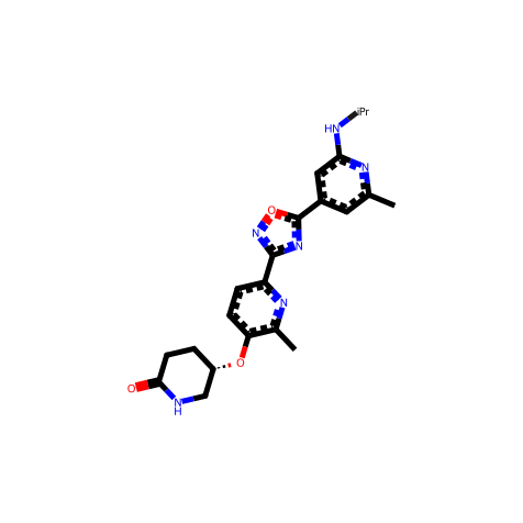 Cc1cc(-c2nc(-c3ccc(O[C@H]4CCC(=O)NC4)c(C)n3)no2)cc(NC(C)C)n1